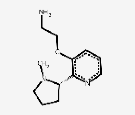 CN1CCC[C@H]1c1ncccc1OCCN